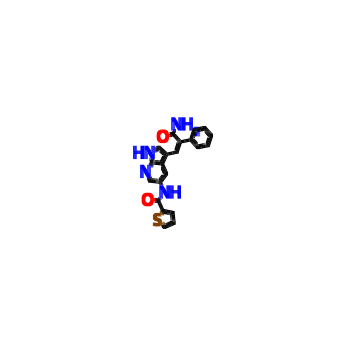 NC(=O)C(=Cc1c[nH]c2ncc(NC(=O)c3cccs3)cc12)c1ccccc1